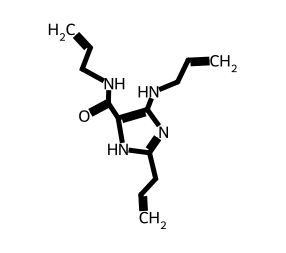 C=CCNC(=O)c1[nH]c(CC=C)nc1NCC=C